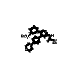 CCNC(=O)Nc1cc(-c2ccc(N3CCOCC3)cc2)c(-c2cncc(C(=O)OCC)c2)cn1